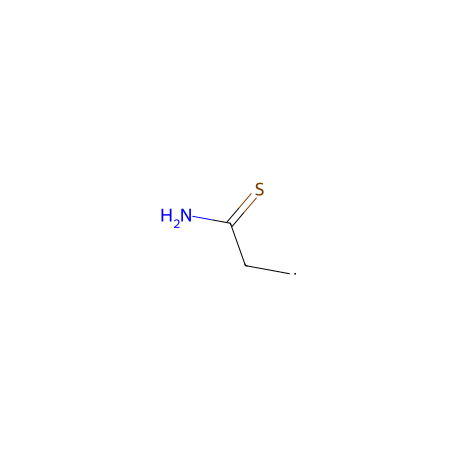 [CH2]CC(N)=S